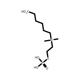 C[N+](C)(CCCCCC(=O)O)CCOP(=O)(O)O